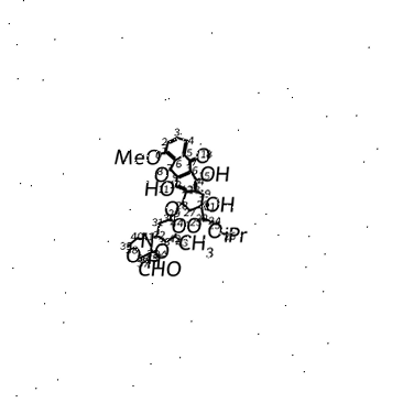 COc1cccc2c1C(=O)c1c(O)c3c(c(O)c1C2=O)C[C@@](O)(C(=O)COC(C)C)C[C@@H]3O[C@H]1CC2C(O[C@@H]3[C@@H](C=O)OCCN23)[C@H](C)O1